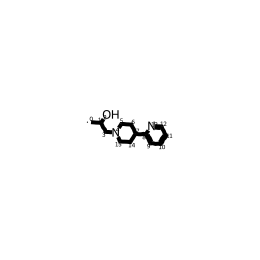 [CH2]C(O)CN1CCC(c2ccccn2)CC1